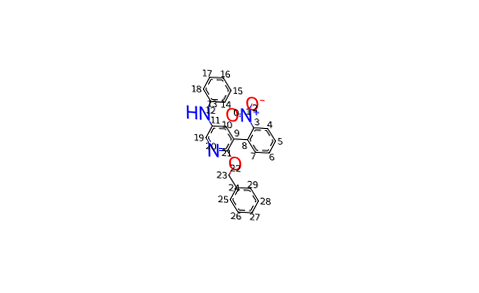 O=[N+]([O-])c1ccccc1-c1cc(Nc2ccccc2)cnc1OCc1ccccc1